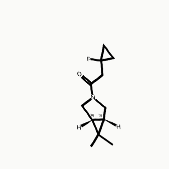 CC1(C)[C@@H]2CN(C(=O)CC3(F)CC3)C[C@@H]21